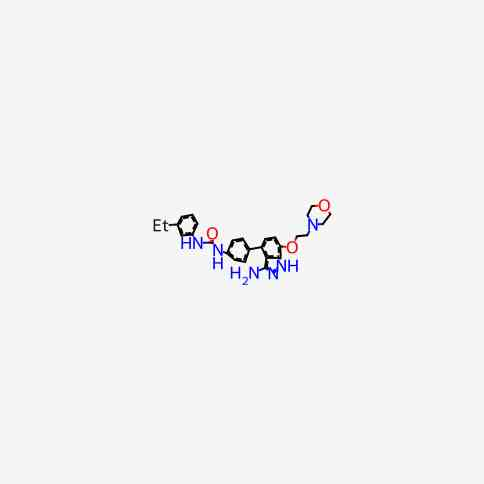 CCc1cccc(NC(=O)Nc2ccc(-c3ccc(OCCN4CCOCC4)c4[nH]nc(N)c34)cc2)c1